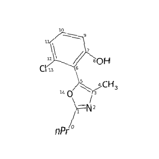 CCCc1nc(C)c(-c2c(O)cccc2Cl)o1